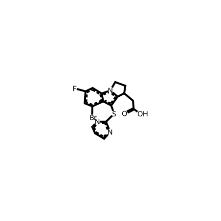 O=C(O)CC1CCn2c1c(Sc1ncccn1)c1c(Br)cc(F)cc12